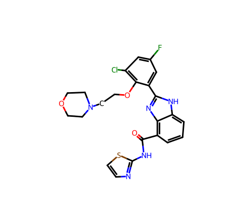 O=C(Nc1nccs1)c1cccc2[nH]c(-c3cc(F)cc(Cl)c3OCCN3CCOCC3)nc12